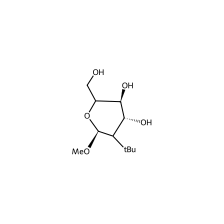 CO[C@H]1OC(CO)[C@@H](O)[C@H](O)C1C(C)(C)C